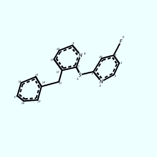 Fc1ccnc(Sc2ncccc2Cc2ccccc2)c1